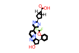 O=C(O)[C@H]1[C@@H]2C[C@@H](c3ncc(-c4ccc5nc6c(n5c4)[C@@H](c4ccccc4OC(F)F)C[C@H]6O)cn3)C[C@@H]21